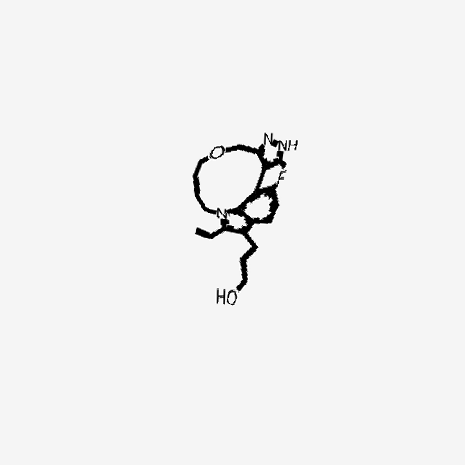 C=Cc1c(CCCO)c2ccc(F)c3c2n1C/C=C\COCc1n[nH]c(C)c1-3